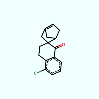 O=C1c2cccc(Cl)c2CCC12CC1=CCC2C1